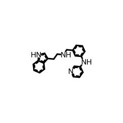 c1cncc(Nc2cccc(CNCCc3c[nH]c4ccccc34)c2)c1